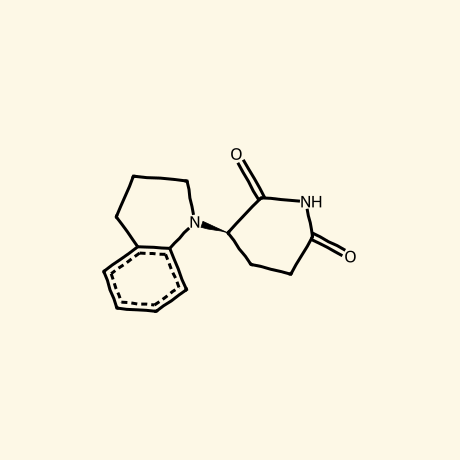 O=C1CC[C@@H](N2CCCc3ccccc32)C(=O)N1